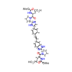 COC(=O)NC(CC(=O)O)C(=O)N1CCC[C@H]1c1ncc(-c2ccc(C#Cc3ccc4nc([C@@H]5CCCN5C(=O)[C@H](CCC(=O)O)NC(=O)OC)[nH]c4c3)cc2)[nH]1